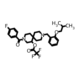 CC(C)COc1ccccc1CN1CCC2(CC1)CCN(C(=O)c1ccc(F)cc1)CC2OC(=O)C(F)(F)F